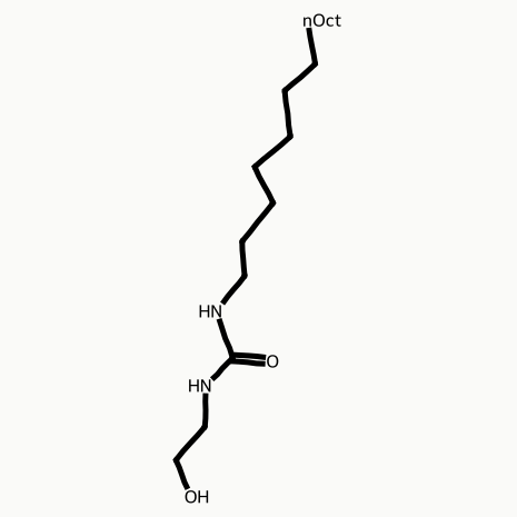 CCCCCCCCCCCCCCCNC(=O)NCCO